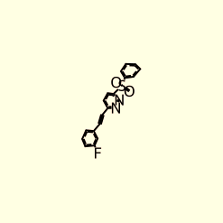 O=S(=O)(c1ccccc1)c1ccc(C#Cc2cccc(F)c2)nn1